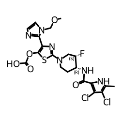 COCn1ccnc1-c1nc(N2CC[C@@H](NC(=O)c3[nH]c(C)c(Cl)c3Cl)[C@@H](F)C2)sc1OC(=O)O